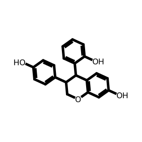 Oc1ccc(C2COc3cc(O)ccc3C2c2ccccc2O)cc1